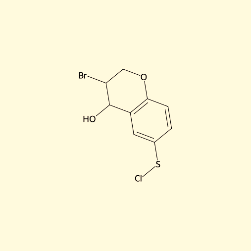 OC1c2cc(SCl)ccc2OCC1Br